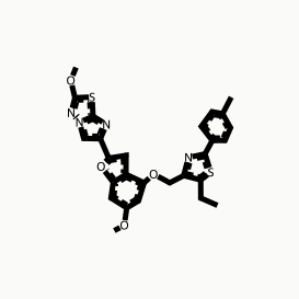 CCc1sc(-c2ccc(C)cc2)nc1COc1cc(OC)cc2oc(-c3cn4nc(OC)sc4n3)cc12